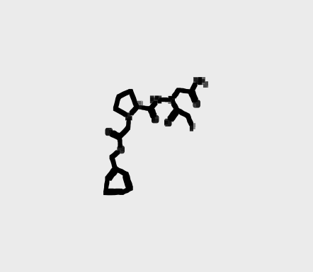 NC(=O)CN(NC(=O)[C@@H]1CCCN1CC(=O)OCc1ccccc1)C(=O)CF